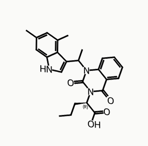 CCC[C@H](C(=O)O)n1c(=O)c2ccccc2n(C(C)c2c[nH]c3cc(C)cc(C)c23)c1=O